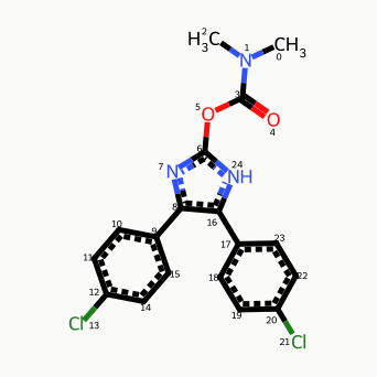 CN(C)C(=O)Oc1nc(-c2ccc(Cl)cc2)c(-c2ccc(Cl)cc2)[nH]1